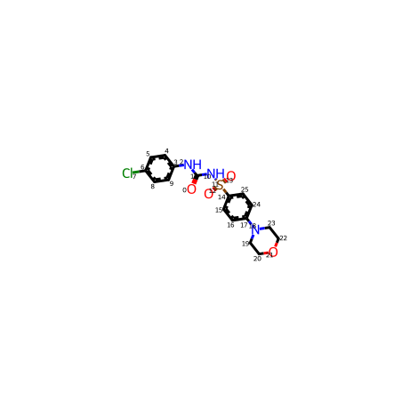 O=C(Nc1ccc(Cl)cc1)NS(=O)(=O)c1ccc(N2CCOCC2)cc1